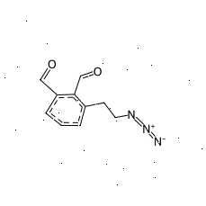 [N-]=[N+]=NCCc1cccc(C=O)c1C=O